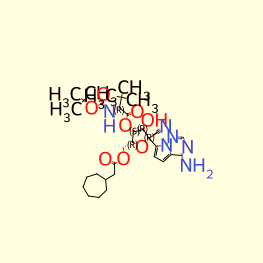 CC(C)(C)OC(=O)N[C@@H](C(=O)O[C@H]1[C@@H](O)[C@](C#N)(c2ccc3c(N)ncnn23)O[C@@H]1COC(=O)CC1CCCCCC1)C(C)(C)C